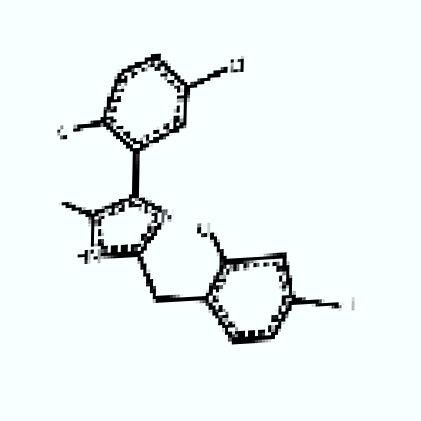 Cc1[nH]c(Cc2ccc(Cl)cc2Cl)nc1-c1cc(Cl)ccc1Cl